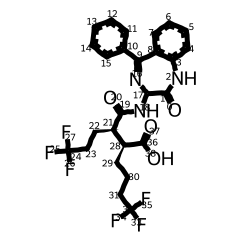 O=C1Nc2ccccc2C(c2ccccc2)=NC1NC(=O)[C@H](CCC(F)(F)F)[C@H](CCCC(F)(F)F)C(=O)O